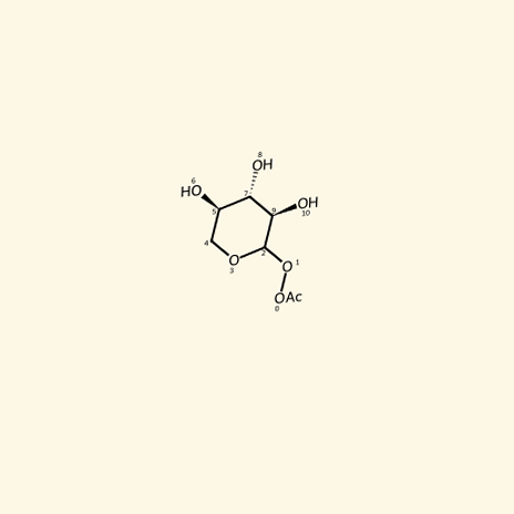 CC(=O)OOC1OC[C@@H](O)[C@H](O)[C@H]1O